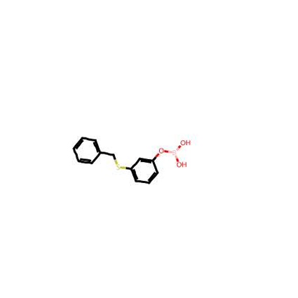 OB(O)Oc1cccc(SCc2ccccc2)c1